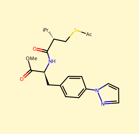 COC(=O)[C@H](Cc1ccc(-n2cccn2)cc1)NC(=O)[C@@H](CSC(C)=O)C(C)C